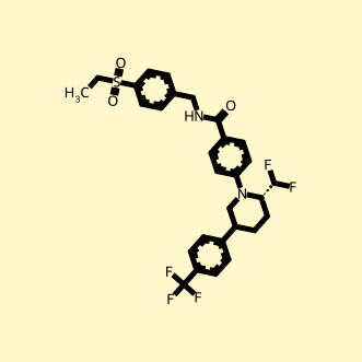 CCS(=O)(=O)c1ccc(CNC(=O)c2ccc(N3CC(c4ccc(C(F)(F)F)cc4)CC[C@H]3C(F)F)cc2)cc1